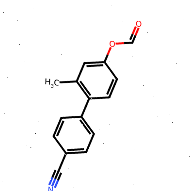 Cc1cc(OC=O)ccc1-c1ccc(C#N)cc1